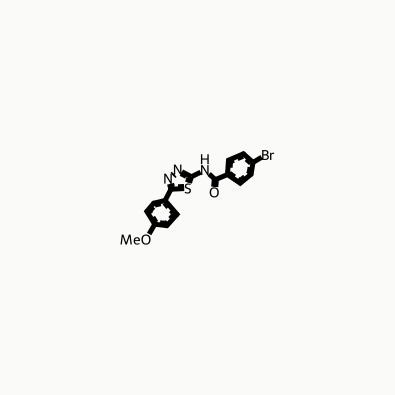 COc1ccc(-c2nnc(NC(=O)c3ccc(Br)cc3)s2)cc1